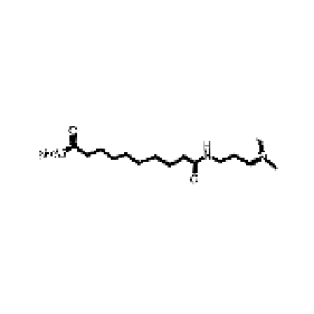 COC(=O)CCCCCCCCC(=O)NCCCN(C)C